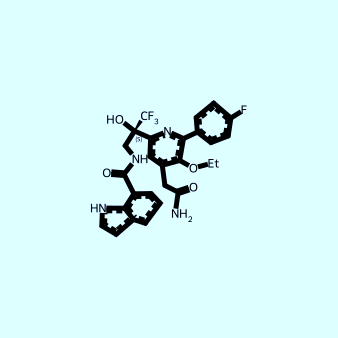 CCOc1c(CC(N)=O)cc([C@@](O)(CNC(=O)c2cccc3cc[nH]c23)C(F)(F)F)nc1-c1ccc(F)cc1